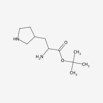 CC(C)(C)OC(=O)C(N)CC1CCNC1